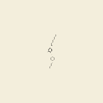 CCCCCCCC(=O)Oc1ccc(OC[C@H]2CC[C@H](CCCCC)CC2)c(C)c1